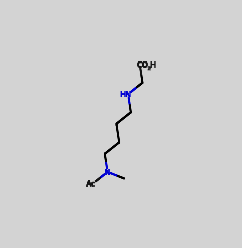 CC(=O)N(C)CCCCNCC(=O)O